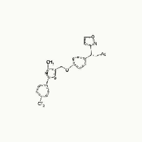 CC(=O)C[C@H](c1ccc(OCc2sc(-c3ccc(C(F)(F)F)cc3)nc2C)cc1)c1ccon1